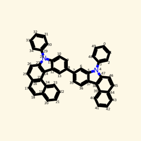 c1ccc(-n2c3cc(-c4ccc5c(c4)c4c6c(ccc7ccccc76)ccc4n5-c4ccccc4)ccc3c3c4ccccc4ccc32)cc1